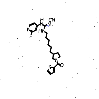 N#C/N=C(/NCCCCCCC1CCN(C(=O)c2cccs2)C1)Nc1ccnc(F)c1